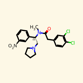 CN(C(=O)Cc1ccc(Cl)c(Cl)c1)[C@H](CN1CCCC1)c1cccc([N+](=O)[O-])c1